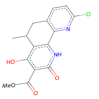 COC(=O)c1c(O)c2c([nH]c1=O)-c1nc(Cl)ccc1CC2C